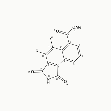 COC(=O)c1cccc2c3c(c(C)c(C)c12)C(=O)NC3=O